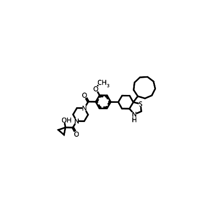 COc1cc(C2CCC3(C4CCCCCCCC4)SCNC3C2)ccc1C(=O)N1CCN(C(=O)C2(O)CC2)CC1